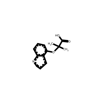 CC(C)(Oc1cccc2ncccc12)C(=O)O